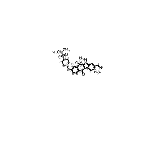 C/N=C\c1ccc2c3c([nH]c2c1)C(C)(C)c1cc(CN2CCN(S(=O)(=O)N(C)C)CC2)ccc1C3=O